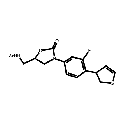 CC(=O)NCC1CN(c2ccc(C3C=CSC3)c(F)c2)C(=O)O1